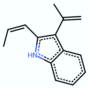 C=C(C)c1c(/C=C\C)[nH]c2ccccc12